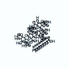 CC(=O)N[C@@H]1[C@@H](O)[C@H](O[C@@H]2O[C@H](C(=O)O)[C@@H](O[C@@H]3O[C@H](CO)[C@@H](O[C@H]4O[C@@H](C(=O)O)[C@H](O)[C@@H](O)[C@@H]4OS(=O)(=O)O)[C@H](OS(=O)(=O)O)[C@H]3NS(=O)(=O)O)[C@H](O)[C@H]2OS(=O)(=O)O)[C@H](COS(=O)(=O)O)O[C@H]1O.O=C(O)C(F)(F)C(F)(F)C(F)(F)C(F)(F)C(F)(F)C(F)(F)C(F)(F)F